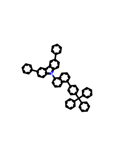 c1ccc(-c2ccc3c(c2)c2cc(-c4ccccc4)ccc2n3-c2cccc3c(-c4ccc(C(c5ccccc5)(c5ccccc5)c5ccccc5)cc4)cccc23)cc1